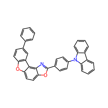 c1ccc(-c2ccc3oc4ccc5oc(-c6ccc(-n7c8ccccc8c8ccccc87)cc6)nc5c4c3c2)cc1